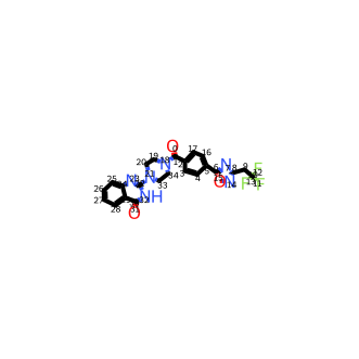 O=C(c1ccc(-c2nc(CC(F)(F)F)no2)cc1)N1CCN(c2nc3ccccc3c(=O)[nH]2)CC1